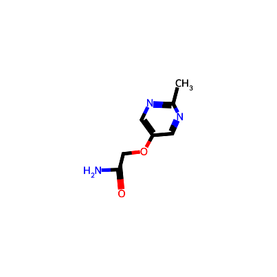 Cc1ncc(OCC(N)=O)cn1